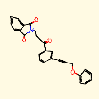 O=C(CCN1C(=O)c2ccccc2C1=O)c1cccc(C#CCOc2ccccc2)c1